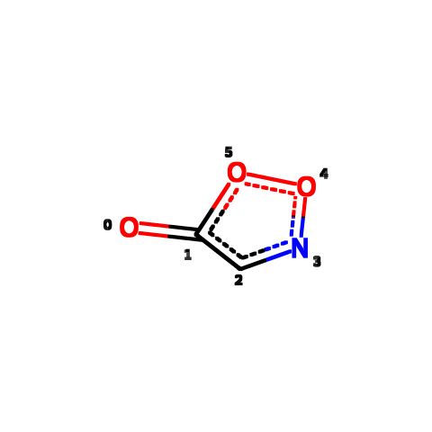 O=c1cnoo1